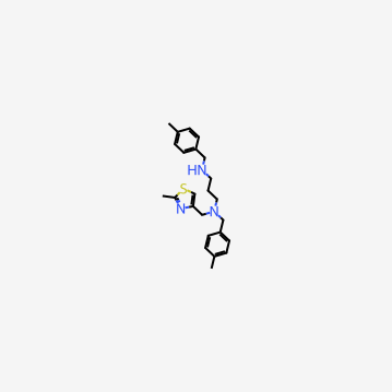 Cc1ccc(CNCCCN(Cc2ccc(C)cc2)Cc2csc(C)n2)cc1